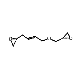 C(=CCC1CO1)COCC1CO1